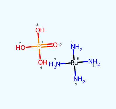 O=P(O)(O)O.[NH2][Ru]([NH2])([NH2])[NH2]